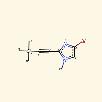 Cn1cc(Br)nc1C#C[Si](C)(C)C